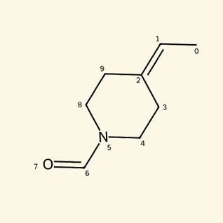 CC=C1CCN(C=O)CC1